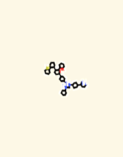 c1ccc(-c2cc(-c3ccc(-c4cccnc4)cc3)nc(-c3ccc(-c4ccc(-c5cccc6sc7ccccc7c56)c5c4oc4ccccc45)cc3)n2)cc1